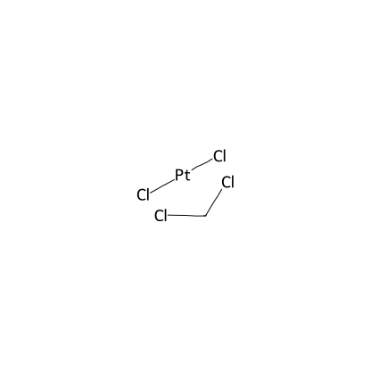 ClCCl.[Cl][Pt][Cl]